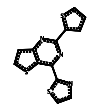 c1csc(-c2nc(-c3nccs3)c3sccc3n2)c1